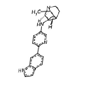 C[C@@H]1[C@@H](Nc2ccc(-c3ccc4cc[nH]c4c3)nc2)C2CCN1CC2